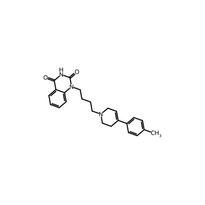 Cc1ccc(C2=CCN(CCCCn3c(=O)[nH]c(=O)c4ccccc43)CC2)cc1